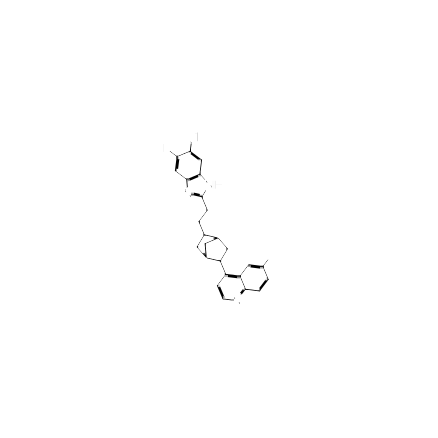 Fc1ccc2nccc(C3CC4CC3CC4CCc3nc4cc(F)c(Cl)cc4[nH]3)c2c1